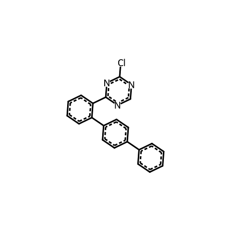 Clc1ncnc(-c2ccccc2-c2ccc(-c3ccccc3)cc2)n1